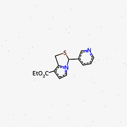 CCOC(=O)c1ccn2c1CSC2c1cccnc1